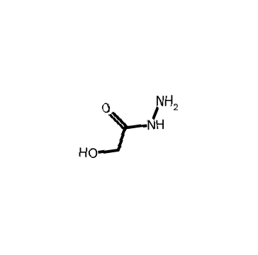 NNC(=O)CO